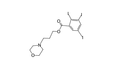 O=C(OCCCN1CCOCC1)c1cc(I)cc(I)c1I